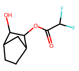 O=C(OC1C2CCC(C2)C1O)C(F)F